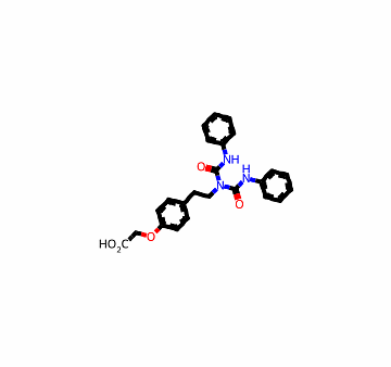 O=C(O)COc1ccc(CCN(C(=O)Nc2ccccc2)C(=O)Nc2ccccc2)cc1